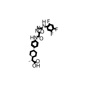 C[C@@H](C(=O)O)[C@H]1CC[C@H](c2ccc(NC(=O)c3nnc(Nc4cc(F)c(F)cc4F)o3)cc2)CC1